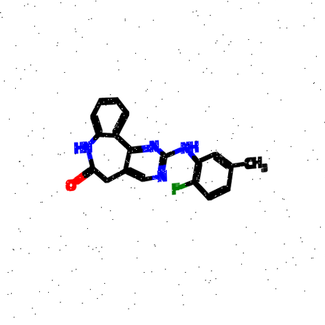 Cc1ccc(F)c(Nc2ncc3c(n2)-c2ccccc2NC(=O)C3)c1